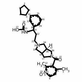 C1CCCC1.Cc1cc[n+]([O-])c(C)c1C(=O)N1CC2CN(CCC(NC(=O)O)c3ccccc3)C[C@H]2C1